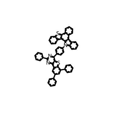 c1ccc(-c2cc(-c3ccccc3)c3sc4c(-c5ccc(-n6c7ccccc7c7c8ccccc8c8sc9ccccc9c8c76)cc5)nc(-c5ccccc5)nc4c3c2)cc1